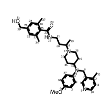 COc1ccc(N(Cc2cnccc2C)C2CCN(C(C)CCNC(=O)c3c(C)cc(CO)cc3C)CC2)cc1